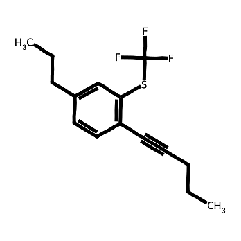 CCCC#Cc1ccc(CCC)cc1SC(F)(F)F